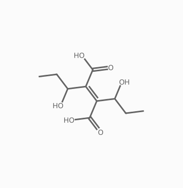 CCC(O)C(C(=O)O)=C(C(=O)O)C(O)CC